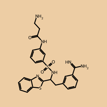 N=C(N)c1cccc(CC(NS(=O)(=O)c2cccc(NC(=O)CCN)c2)c2nc3ccccc3s2)c1